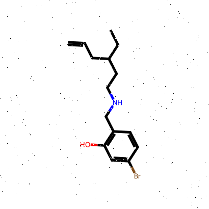 C=CCC(CC)CCNCc1ccc(Br)cc1O